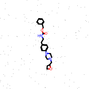 O=C(NCCc1ccc(N2CCN(CC3CCO3)CC2)cc1)OCc1ccccc1